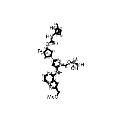 COCc1cc2c(Nc3cc([C@@H]4C[C@H](F)[C@H](OC(=O)NC56CC(C5)[C@@H]6C)C4)nn3COP(=O)(O)O)nccn2n1